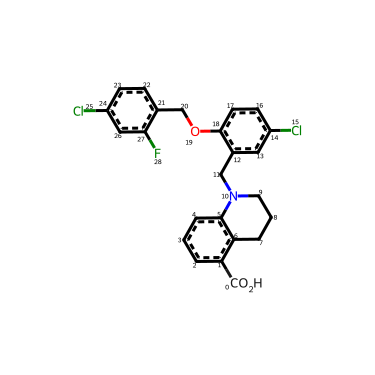 O=C(O)c1cccc2c1CCCN2Cc1cc(Cl)ccc1OCc1ccc(Cl)cc1F